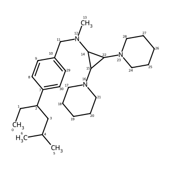 CCC(CC(C)C)c1ccc(CN(C)C2C(N3CCCCC3)C2N2CCCCC2)cc1